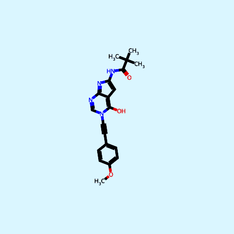 COc1ccc(C#Cn2cnc3nc(NC(=O)C(C)(C)C)cc-3c2O)cc1